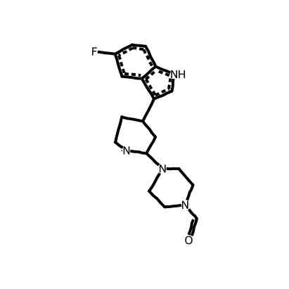 O=CN1CCN(C2CC(c3c[nH]c4ccc(F)cc34)CC[N]2)CC1